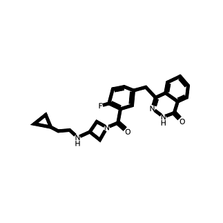 O=C(c1cc(Cc2n[nH]c(=O)c3ccccc23)ccc1F)N1CC(NCCC2CC2)C1